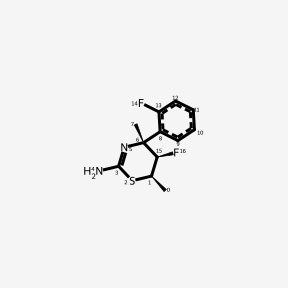 C[C@H]1SC(N)=N[C@](C)(c2ccccc2F)[C@H]1F